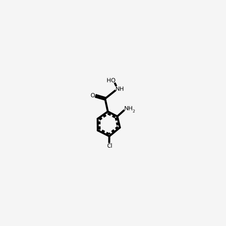 Nc1cc(Cl)ccc1C(=O)NO